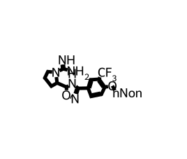 CCCCCCCCCOc1ccc(C2=NOC(C3CCCN3C(=N)N)N2)cc1C(F)(F)F